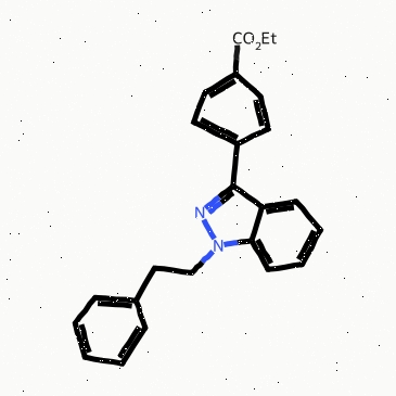 CCOC(=O)c1ccc(-c2nn(CCc3ccccc3)c3ccccc23)cc1